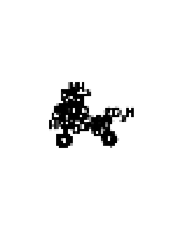 C[C@H](N[P@](=O)(OC[C@H]1O[C@@](C#N)(c2ccc3c(N)ncnn23)[C@H](OC(=O)[C@H](NC(=O)OC(C)(C)C)c2ccccc2)[C@@H]1O)Oc1ccccc1)C(=O)O